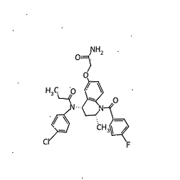 CCC(=O)N(c1ccc(Cl)cc1)[C@H]1C[C@@H](C)N(C(=O)c2ccc(F)cc2)c2ccc(OCC(N)=O)cc21